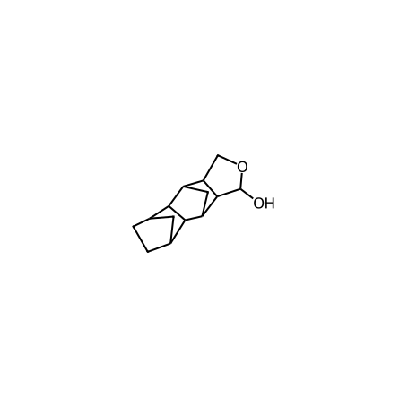 OC1OCC2C3CC(C12)C1C2CCC(C2)C31